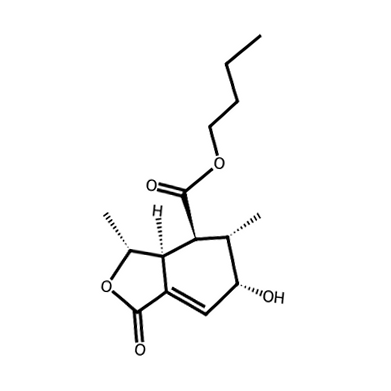 CCCCOC(=O)[C@H]1[C@H](C)[C@H](O)C=C2C(=O)O[C@H](C)[C@H]21